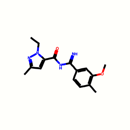 CCn1nc(C)cc1C(=O)NC(=N)c1ccc(C)c(OC)c1